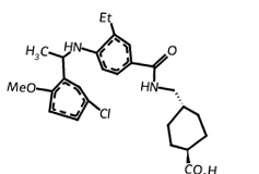 CCc1cc(C(=O)NC[C@H]2CC[C@H](C(=O)O)CC2)ccc1NC(C)c1cc(Cl)ccc1OC